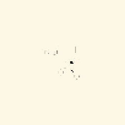 O.O.O=S(=O)(O)O.[Cu].[Zn]